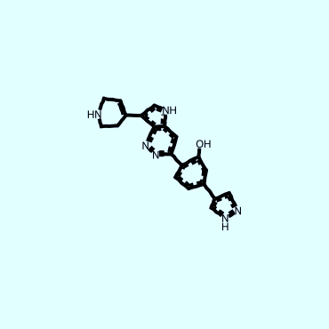 Oc1cc(-c2cn[nH]c2)ccc1-c1cc2[nH]cc(C3=CCNCC3)c2nn1